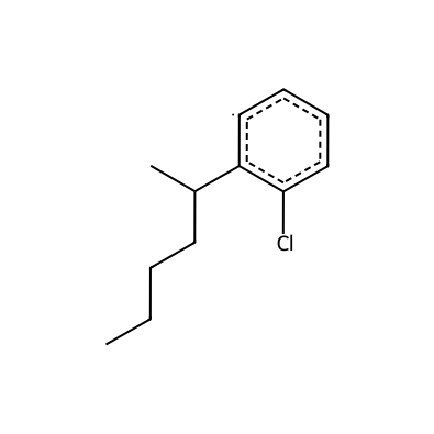 CCCCC(C)c1[c]cccc1Cl